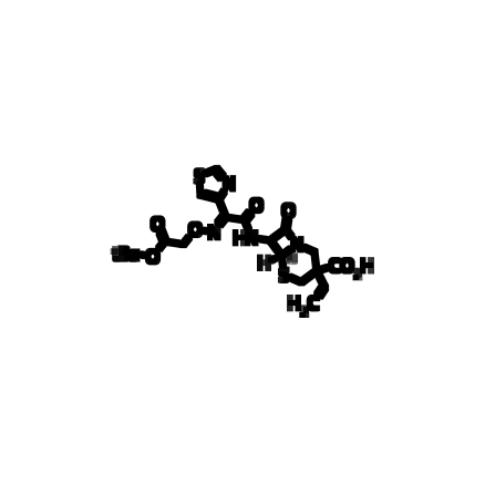 C=CC1(C(=O)O)CS[C@@H]2C(NC(=O)C(=NOCC(=O)OC(C)(C)C)c3cscn3)C(=O)N2C1